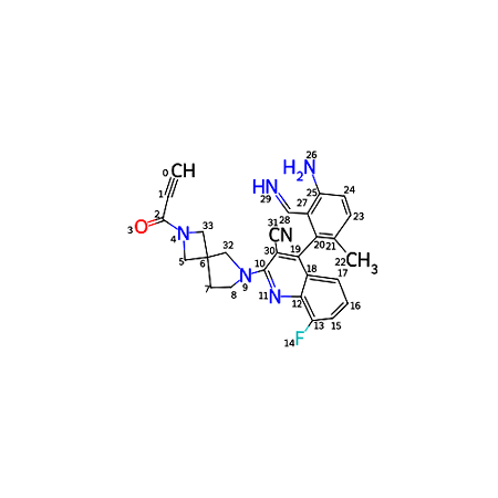 C#CC(=O)N1CC2(CCN(c3nc4c(F)cccc4c(-c4c(C)ccc(N)c4C=N)c3C#N)C2)C1